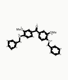 COc1cc(C(=O)c2ccc(OCc3ccccc3)c(OC)c2)ccc1OCc1ccccc1